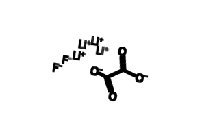 O=C([O-])C(=O)[O-].[F-].[F-].[Li+].[Li+].[Li+].[Li+]